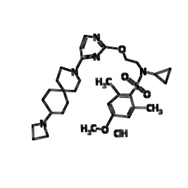 COc1cc(C)c(S(=O)(=O)N(CCOc2nccc(N3CCC4(CCC(N5CCC5)CC4)CC3)n2)C2CC2)c(C)c1.Cl